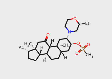 CC[C@H]1CN([C@H]2C[C@@]3(C)[C@@H](CC[C@H]4[C@@H]5CC[C@H](C(C)=O)[C@@]5(C)CC(=O)[C@@H]43)C[C@@H]2OS(C)(=O)=O)CCO1